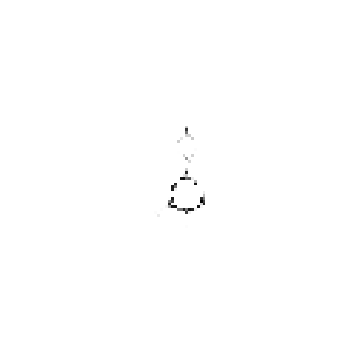 CC1OC(c2cc(N)c([N+](=O)[O-])cn2)O1